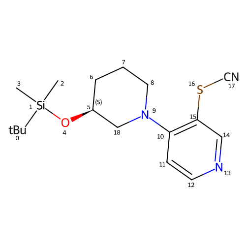 CC(C)(C)[Si](C)(C)O[C@H]1CCCN(c2ccncc2SC#N)C1